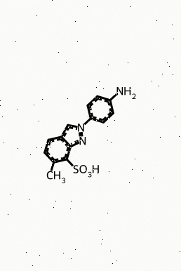 Cc1ccc2cn(-c3ccc(N)cc3)nc2c1S(=O)(=O)O